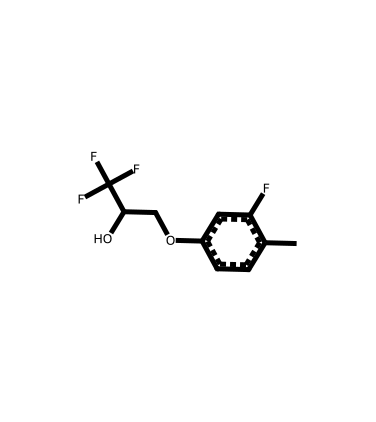 Cc1ccc(OCC(O)C(F)(F)F)cc1F